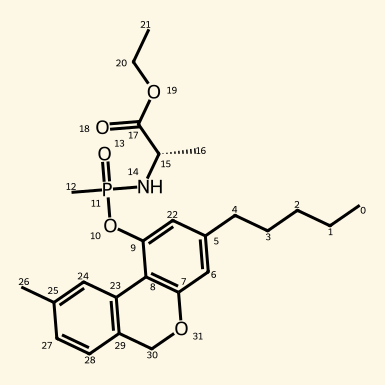 CCCCCc1cc2c(c(OP(C)(=O)N[C@@H](C)C(=O)OCC)c1)-c1cc(C)ccc1CO2